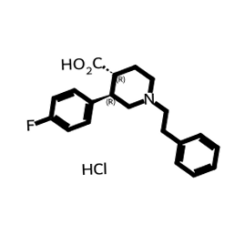 Cl.O=C(O)[C@@H]1CCN(CCc2ccccc2)C[C@H]1c1ccc(F)cc1